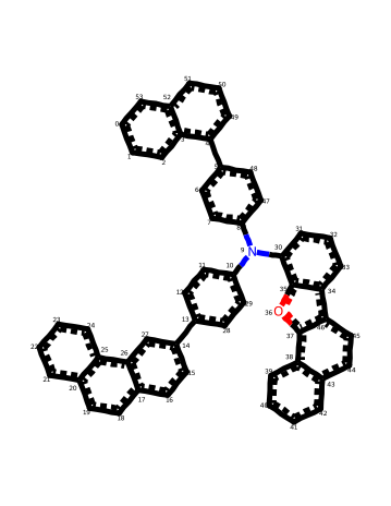 c1ccc2c(-c3ccc(N(c4ccc(-c5ccc6ccc7ccccc7c6c5)cc4)c4cccc5c4oc4c6ccccc6ccc54)cc3)cccc2c1